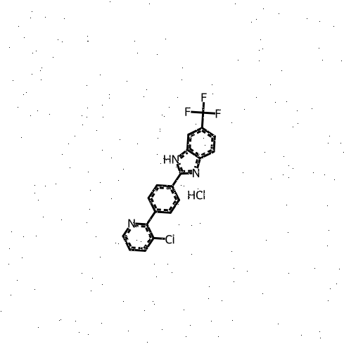 Cl.FC(F)(F)c1ccc2nc(-c3ccc(-c4ncccc4Cl)cc3)[nH]c2c1